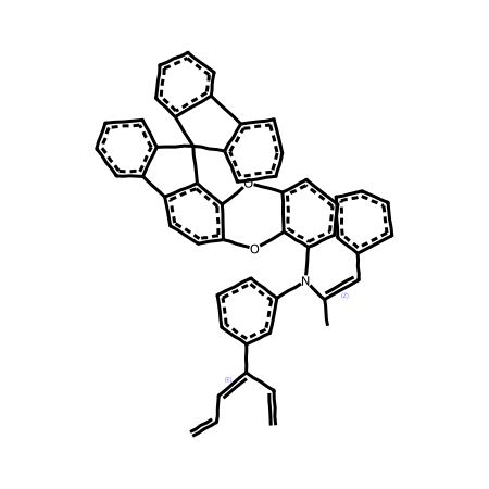 C=C/C=C(\C=C)c1cccc(N(/C(C)=C\c2ccccc2)c2cccc3c2Oc2ccc4c(c2O3)C2(c3ccccc3-c3ccccc32)c2ccccc2-4)c1